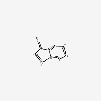 S=C1C=Nc2ccccc21